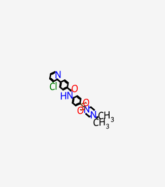 CC(C)N1CCN(S(=O)(=O)c2ccc(NC(=O)c3ccc(-c4ncccc4Cl)cc3)cc2)CC1